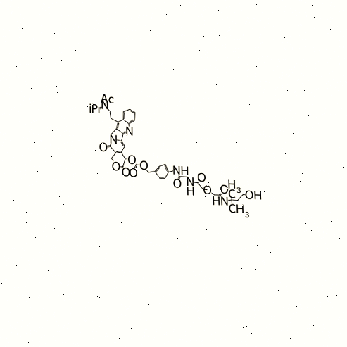 CC(=O)N(CCc1c2c(nc3ccccc13)-c1cc3c(c(=O)n1C2)COC(=O)[C@H]3OC(=O)OCc1ccc(NC(=O)CNC(=O)COCC(=O)NC(C)(C)CCO)cc1)C(C)C